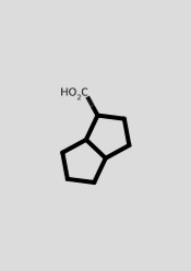 O=C(O)C1CCC2CCCC21